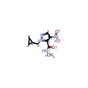 CNC(=O)c1c([N+](=O)[O-])cnn1CC1CC1